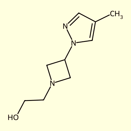 Cc1cnn(C2CN(CCO)C2)c1